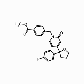 COC(=O)c1ccc(Cn2ccc(C3(c4ccc(F)cc4)CCCO3)cc2=O)cc1